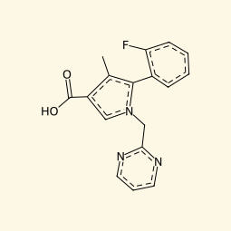 Cc1c(C(=O)O)cn(Cc2ncccn2)c1-c1ccccc1F